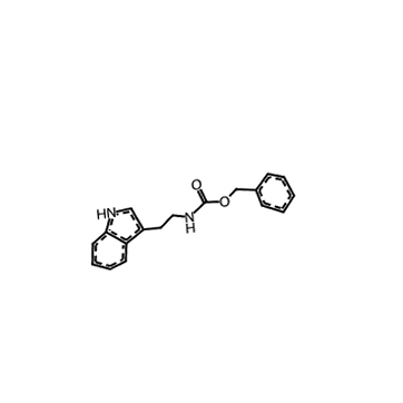 O=C(NCCc1c[nH]c2ccccc12)OCc1ccccc1